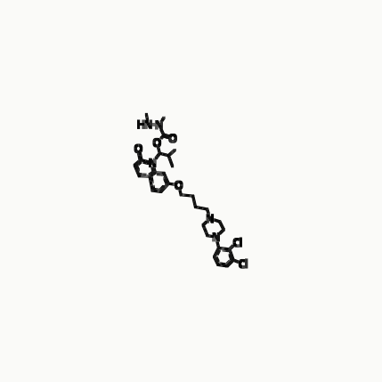 CNN(C)C(=O)OC(C(C)C)n1c(=O)ccc2ccc(OCCCCN3CCN(c4cccc(Cl)c4Cl)CC3)cc21